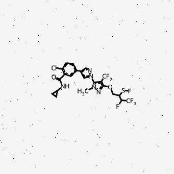 Cn1nc(OCC(SF)C(F)C(F)(F)F)c(C(F)(F)F)c1-n1cc(-c2ccc(Cl)c(C(=O)NC3CC3)c2)cn1